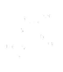 CCOC(=O)c1cc2c3c(C(C)Br)cccc3n(C(C)=O)c2cn1